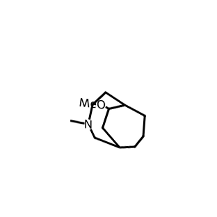 COC1CC2CCCC1CCN(C)C2